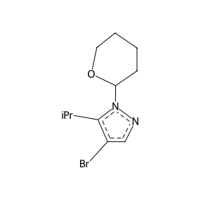 CC(C)c1c(Br)cnn1C1CCCCO1